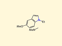 CCn1ccc2cc(OC)ccc21.CNC